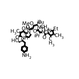 CCC1N[C@H](C(=O)N[C@H](C(=O)N(C)C([C@@H](C)CC)[C@@H](CC(=O)N2CCC[C@H]2[C@H](OC)[C@@H](C)C(=O)N[C@H](CO)Cc2ccc(N)cc2)OC)C(C)C)C(C)[C@@H]1C